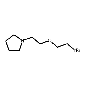 CC(C)(C)CCOCCN1CCCC1